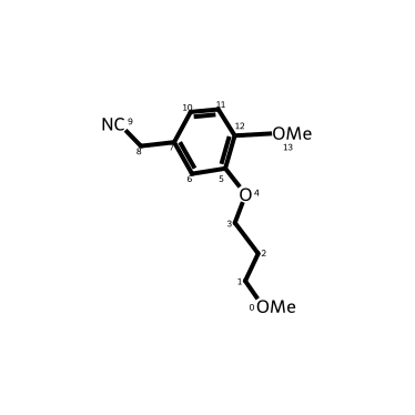 COCCCOc1cc(CC#N)ccc1OC